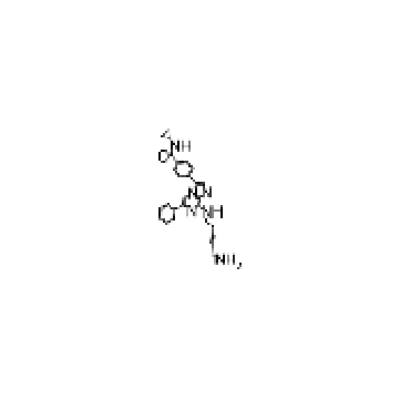 NCC#CCCNc1nc(-c2ccccc2)cn2c(-c3ccc(C(=O)NC4CC4)cc3)cnc12